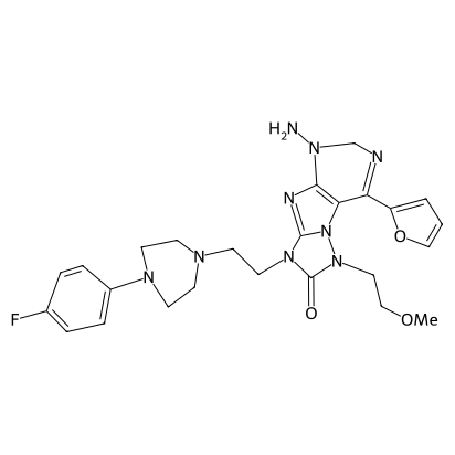 COCCn1c(=O)n(CCN2CCN(c3ccc(F)cc3)CC2)c2nc3c(n21)C(c1ccco1)=NCN3N